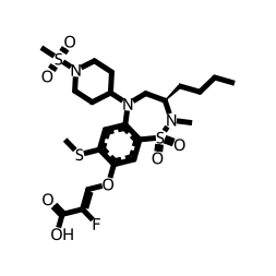 CCCC[C@@H]1CN(C2CCN(S(C)(=O)=O)CC2)c2cc(SC)c(O/C=C(\F)C(=O)O)cc2S(=O)(=O)N1C